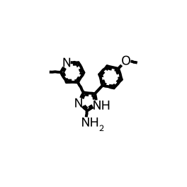 COc1ccc(-c2[nH]c(N)nc2-c2ccnc(C)c2)cc1